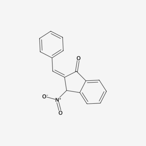 O=C1C(=Cc2ccccc2)C([N+](=O)[O-])c2ccccc21